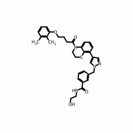 Cc1cccc(OCCCC(=O)N2CCSc3c(-c4cnn(Cc5cccc(C(=O)NCCO)c5)c4)cccc32)c1C